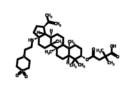 C=C(C)[C@@H]1CC[C@]2(NCCN3CCS(=O)(=O)CC3)CC[C@]3(C)[C@H](CCC4[C@@]5(C)CC[C@H](OC(=O)CC(C)(C)C(=O)O)C(C)(C)[C@@H]5CC[C@]43C)[C@@H]12